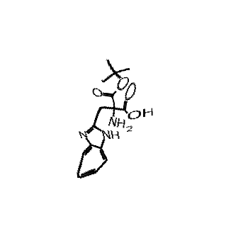 CC(C)(C)OC(=O)C(N)(Cc1nc2ccccc2[nH]1)C(=O)O